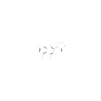 Cc1c(N2CCCC2=O)nc2cc(F)cc(F)c2c1Cl